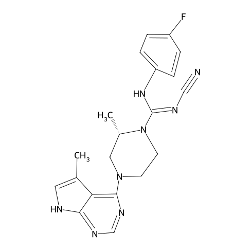 Cc1c[nH]c2ncnc(N3CCN(/C(=N/C#N)Nc4ccc(F)cc4)[C@@H](C)C3)c12